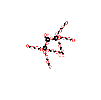 COCCOCCOCCOc1cc(COc2cc(CO)cc(OCc3cc(OCCOCCOCCOC)c(OCCOCCOCCOC)c(OCCOCCOCCOC)c3)c2)cc(OCCOCCOCCOC)c1OCCOCCOCCOC